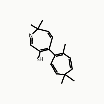 CC1=C(C2=C(S)C=NC(C)(C)C=C2)C=CC(C)(C)C=C1